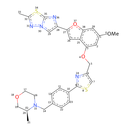 COc1cc(OCc2csc(-c3ccc(CN4CCOC[C@@H]4C)cc3)n2)c2cc(-c3cn4nc(C)sc4n3)oc2c1